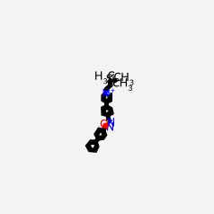 C[Si](C)(C)CCC[n+]1ccc(-c2ccc(-c3nnc(-c4ccc(-c5ccccc5)cc4)o3)cc2)cc1